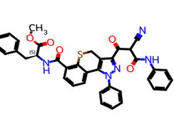 COC(=O)[C@H](Cc1ccccc1)NC(=O)c1cccc2c1SCc1c(C(=O)C(C#N)C(=O)Nc3ccccc3)nn(-c3ccccc3)c1-2